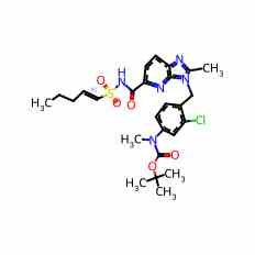 CCC/C=C/S(=O)(=O)NC(=O)c1ccc2nc(C)n(Cc3ccc(N(C)C(=O)OC(C)(C)C)cc3Cl)c2n1